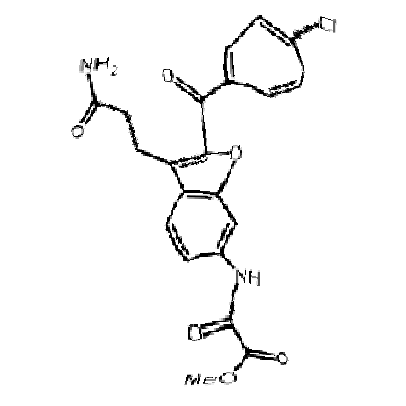 COC(=O)C(=O)Nc1ccc2c(CCC(N)=O)c(C(=O)c3ccc(Cl)cc3)oc2c1